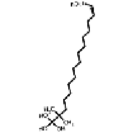 CCCCCCCC/C=C\CCCCCCCCCCCCC(C)(C)C(O)(O)O